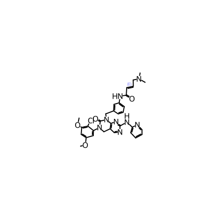 COc1cc(OC)c(Cl)c(N2Cc3cnc(Nc4ccccn4)nc3N(Cc3cccc(NC(=O)/C=C/CN(C)C)c3)C2=O)c1